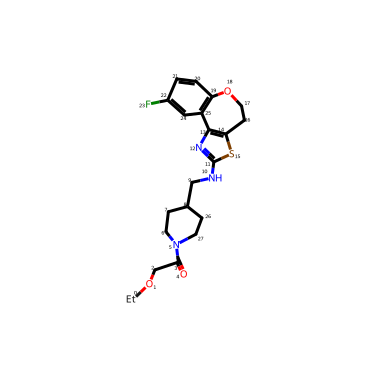 CCOCC(=O)N1CCC(CNc2nc3c(s2)CCOc2ccc(F)cc2-3)CC1